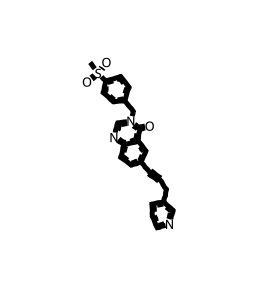 CS(=O)(=O)c1ccc(Cn2cnc3ccc(C#CCc4cccnc4)cc3c2=O)cc1